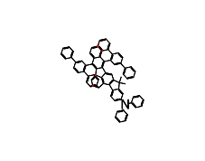 CC1(C)c2cc(N(c3ccccc3)c3ccccc3)ccc2-c2c1cc1c3c(cccc23)-c2c-1c(-c1cc(-c3ccccc3)ccc1-c1ccccc1)c1ccccc1c2-c1cc(-c2ccccc2)ccc1-c1ccccc1